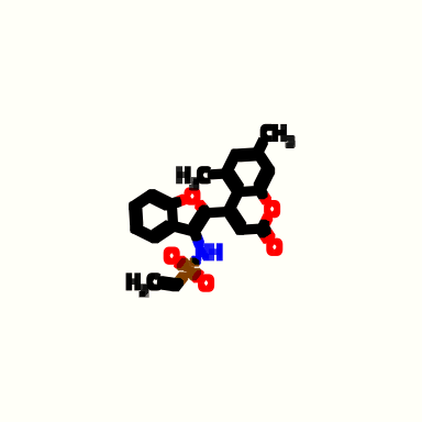 C=CS(=O)(=O)Nc1c(-c2cc(=O)oc3cc(C)cc(C)c23)oc2ccccc12